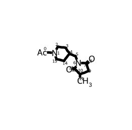 CC(=O)N1CCC(CN2C(=O)CC(C)C2=O)CC1